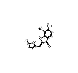 O=C1C(=Cc2ccc(Br)o2)Oc2c1ccc(O)c2O